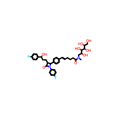 CN(CC(O)C(O)C(O)C(O)CO)C(=O)CCCC=Cc1ccc(C2C(CCC(O)c3ccc(F)cc3)C(=O)N2c2ccc(F)cc2)cc1